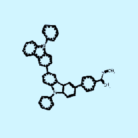 C=NC(=C)c1ccc(C2=CC3c4cc(-c5ccc6c(c5)c5ccccc5n6-c5ccccc5)ccc4N(c4ccccc4)C3C=C2)cc1